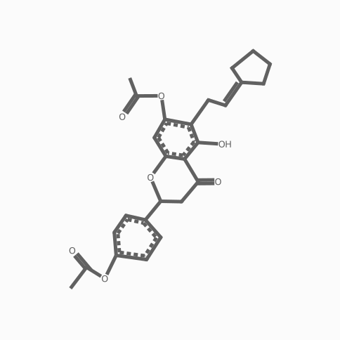 CC(=O)Oc1ccc(C2CC(=O)c3c(cc(OC(C)=O)c(CC=C4CCCC4)c3O)O2)cc1